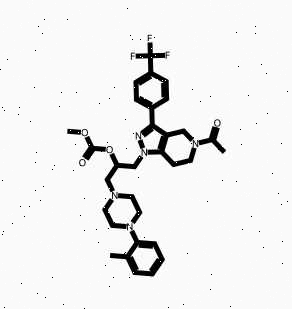 COC(=O)OC(CN1CCN(c2ccccc2C)CC1)Cn1nc(-c2ccc(C(F)(F)F)cc2)c2c1CCN(C(C)=O)C2